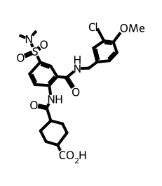 COc1ccc(CNC(=O)c2cc(S(=O)(=O)N(C)C)ccc2NC(=O)C2CCC(C(=O)O)CC2)cc1Cl